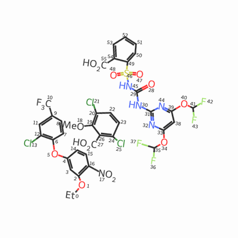 CCOc1cc(Oc2ccc(C(F)(F)F)cc2Cl)ccc1[N+](=O)[O-].COc1c(Cl)ccc(Cl)c1C(=O)O.O=C(Nc1nc(OC(F)F)cc(OC(F)F)n1)NS(=O)(=O)c1ccccc1C(=O)O